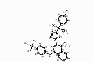 C=C1C(c2noc(C(C)(C)c3ccc(Cl)cc3)n2)=CN(Cc2ccc(C(F)(F)F)cc2)c2ccccc21